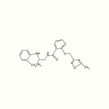 Cc1nc(CSc2ccccc2C(=O)NCC(C)Nc2ccccc2C)no1